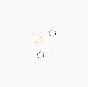 O=P(O)(OP(=O)(O)SSc1ccccc1O)SSc1ccccc1O